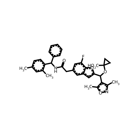 Cc1ccc(C(NC(=O)Cc2cc(F)c3oc(C(OC4(C(=O)O)CC4)c4c(C)noc4C)cc3c2)c2ccccc2)c(C)c1